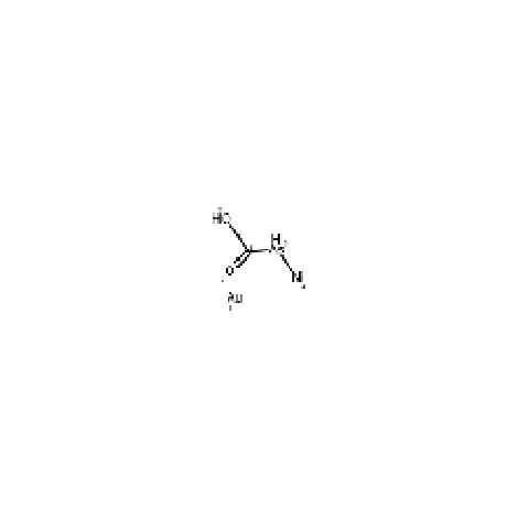 O=C(O)[AsH][Ni].[Au]